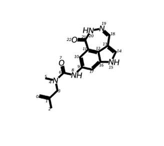 C=C(C)CN(C)C(=O)Nc1cc2c3c(c[nH]c3c1)C=NNC2=O